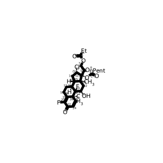 CCCCCC(=O)O[C@@]1(C(=O)COC(=O)CC)[C@@H](C)C[C@H]2[C@@H]3CCC4=C(F)C(=O)C=C[C@]4(C)[C@@]3(F)[C@@H](O)C[C@@]21C